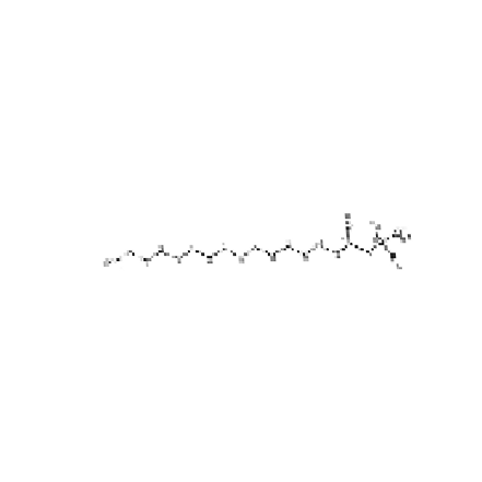 CC(C)CCCCCCCCCCCCCCC(=O)CC(F)(F)C(F)(F)F